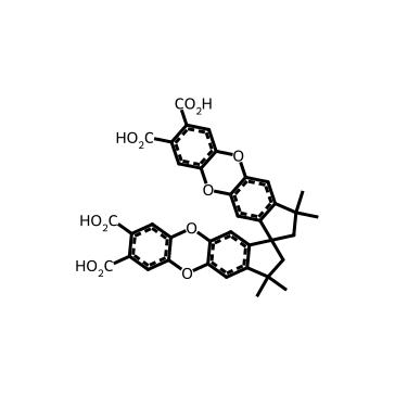 CC1(C)CC2(CC(C)(C)c3cc4c(cc32)Oc2cc(C(=O)O)c(C(=O)O)cc2O4)c2cc3c(cc21)Oc1cc(C(=O)O)c(C(=O)O)cc1O3